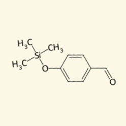 C[Si](C)(C)Oc1ccc(C=O)cc1